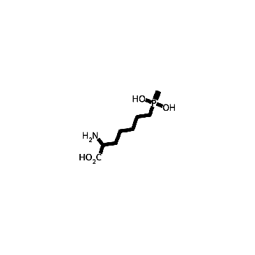 C=P(O)(O)CCCCCC(N)C(=O)O